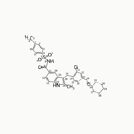 Cc1ccc(S(=O)(=O)NC(=O)c2ccc3[nH]c(C)c(Cc4ccc(COC5CCCCC5)cc4Cl)c3c2)cc1